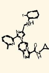 Cc1cccc(-c2nc(CNc3ccccc3F)cn2-c2ccc3ncc(C(=O)NC4CC4)n3c2)n1